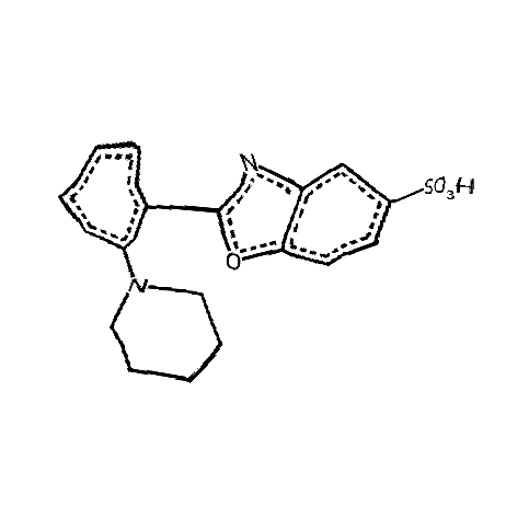 O=S(=O)(O)c1ccc2oc(-c3ccccc3N3CCCCC3)nc2c1